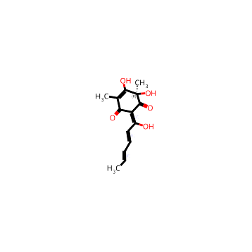 C/C=C/C=C/C(O)=C1\C(=O)C(C)=C(O)[C@@](C)(O)C1=O